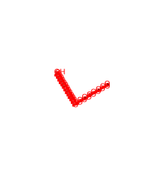 CCOC(C)=O.CCOC(C)=O.CCOC(C)=O.CCOC(C)=O.CCOC(C)=O.CCOC(C)=O.CCOC(C)=O.CCOC(C)=O.CCOC(C)=O.CCOC(C)=O.CCOC(C)=O.CCOC(C)=O.CCOC(C)=O.CCOC(C)=O.CCOC(C)=O.CCOC(C)=O.CCOC(C)=O.CCOC(C)=O.CCOC(C)=O.CCOC(C)=O.CO